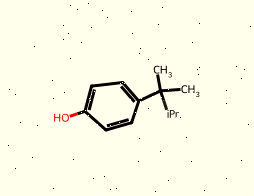 CC(C)C(C)(C)c1ccc(O)cc1